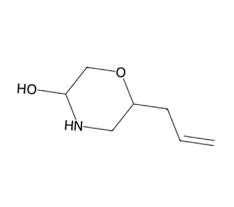 C=CCC1CNC(O)CO1